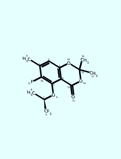 Cc1cc2c(c(O[C@H](C)C(F)(F)F)c1F)C(=O)OC(C)(C)O2